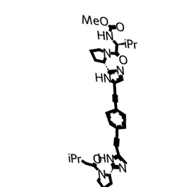 COC(=O)N[C@H](C(=O)N1CCC[C@H]1c1ncc(C#Cc2ccc(C#Cc3cnc([C@@H]4CCCN4C(=O)CC(C)C)[nH]3)cc2)[nH]1)C(C)C